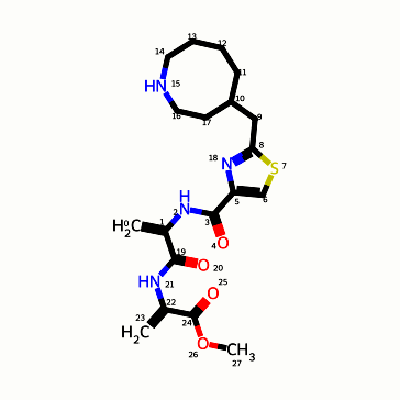 C=C(NC(=O)c1csc(CC2CCCCNCC2)n1)C(=O)NC(=C)C(=O)OC